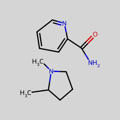 CC1CCCN1C.NC(=O)c1ccccn1